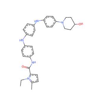 CCn1c(C)ccc1C(=O)Nc1ccc(Nc2ccc(Nc3ccc(N4CCC(O)CC4)cc3)cc2)cc1